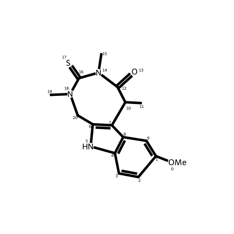 COc1ccc2[nH]c3c(c2c1)C(C)C(=O)N(C)C(=S)N(C)C3